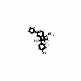 CC(C)c1ccc(C(O)(c2ccnc(C3CCCC3)c2)C2(C)CN(C)C2)cc1